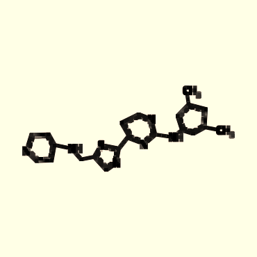 Cc1cc(C)cc(Nc2nccc(-c3ncc(CNc4ccncc4)s3)n2)c1